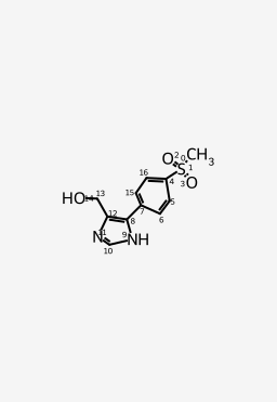 CS(=O)(=O)c1ccc(-c2[nH]cnc2CO)cc1